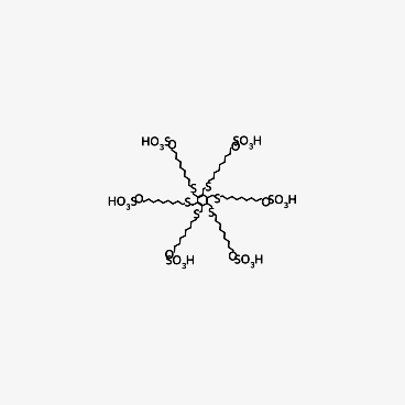 O=S(=O)(O)OCCCCCCCCCSCc1c(CSCCCCCCCCCOS(=O)(=O)O)c(CSCCCCCCCCCOS(=O)(=O)O)c(CSCCCCCCCCCOS(=O)(=O)O)c(CSCCCCCCCCCOS(=O)(=O)O)c1CSCCCCCCCCCOS(=O)(=O)O